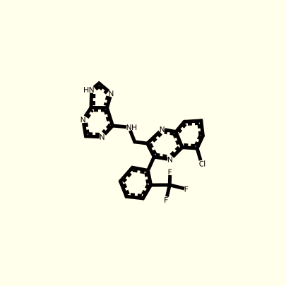 FC(F)(F)c1ccccc1-c1nc2c(Cl)cccc2nc1CNc1ncnc2[nH]cnc12